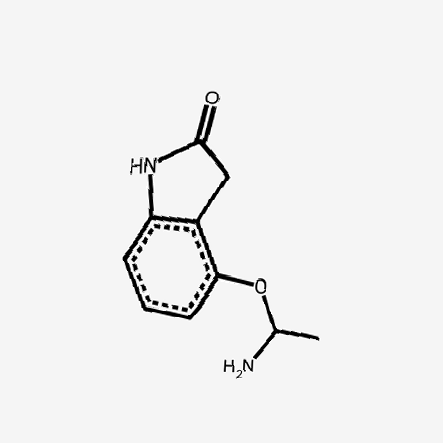 CC(N)Oc1cccc2c1CC(=O)N2